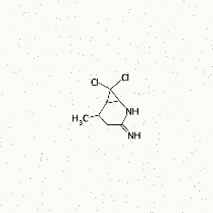 CC1CC(=N)NC2C1C2(Cl)Cl